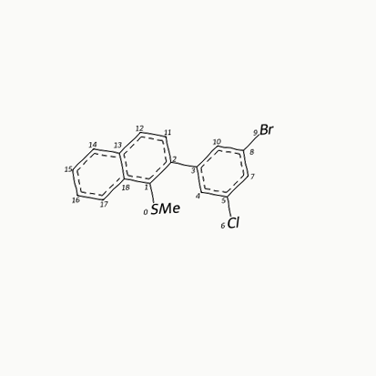 CSc1c(-c2cc(Cl)cc(Br)c2)ccc2ccccc12